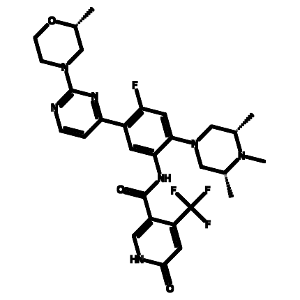 C[C@@H]1CN(c2nccc(-c3cc(NC(=O)c4c[nH]c(=O)cc4C(F)(F)F)c(N4C[C@@H](C)N(C)[C@@H](C)C4)cc3F)n2)CCO1